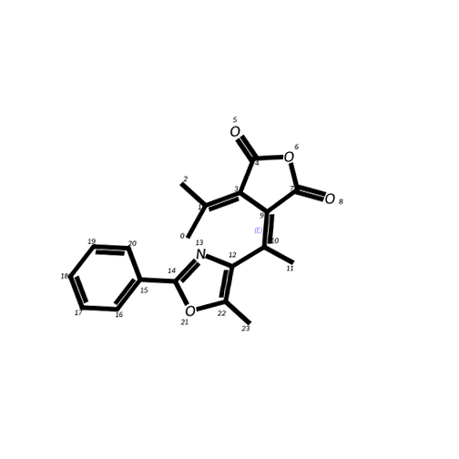 CC(C)=C1C(=O)OC(=O)/C1=C(\C)c1nc(-c2ccccc2)oc1C